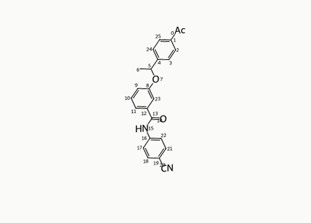 CC(=O)c1ccc(C(C)Oc2cccc(C(=O)Nc3ccc(C#N)cc3)c2)cc1